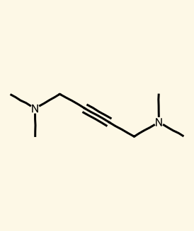 CN(C)CC#CCN(C)C